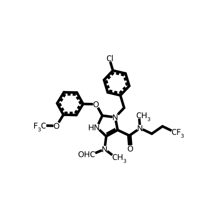 CN(C=O)C1=C(C(=O)N(C)CCC(F)(F)F)N(Cc2ccc(Cl)cc2)C(Oc2cccc(OC(F)(F)F)c2)N1